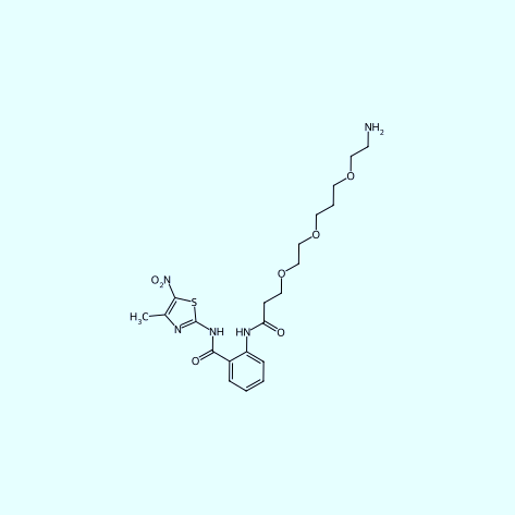 Cc1nc(NC(=O)c2ccccc2NC(=O)CCOCCOCCCOCCN)sc1[N+](=O)[O-]